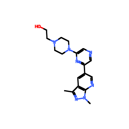 Cc1nn(C)c2ncc(-c3cncc(N4CCN(CCO)CC4)n3)cc12